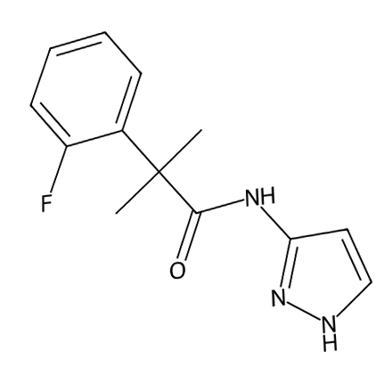 CC(C)(C(=O)Nc1cc[nH]n1)c1ccccc1F